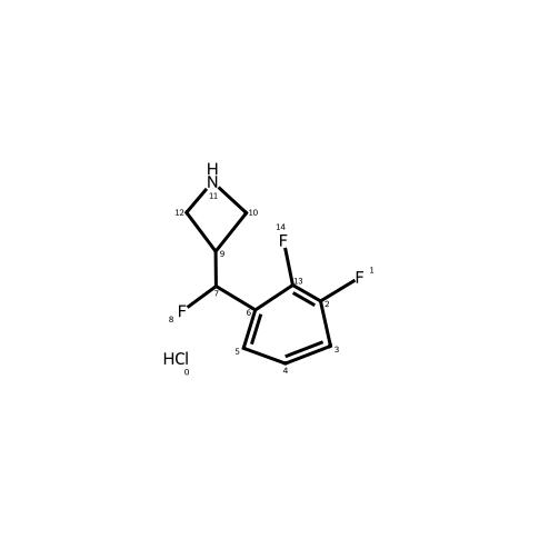 Cl.Fc1cccc(C(F)C2CNC2)c1F